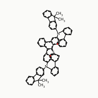 CC1(C)c2ccccc2-c2ccc(N(c3ccc4c(c3)sc3c5ccc(N(c6ccc7c(c6)C(C)(C)c6ccccc6-7)c6ccccc6-c6ccccc6)cc5c5ccccc5c43)c3ccccc3-c3ccccc3)cc21